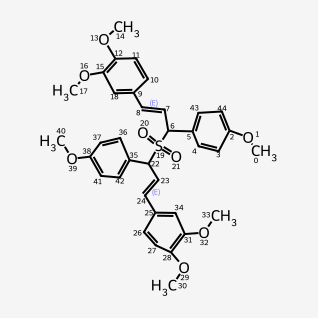 COc1ccc(C(/C=C/c2ccc(OC)c(OC)c2)S(=O)(=O)C(/C=C/c2ccc(OC)c(OC)c2)c2ccc(OC)cc2)cc1